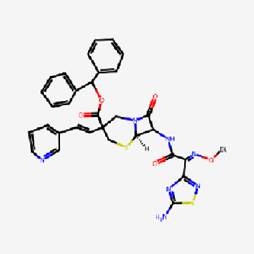 CCON=C(C(=O)NC1C(=O)N2CC(C=Cc3cccnc3)(C(=O)OC(c3ccccc3)c3ccccc3)CS[C@H]12)c1nsc(N)n1